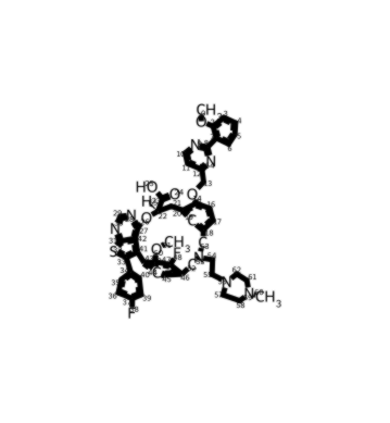 COc1ccccc1-c1nccc(COc2ccc3cc2C[C@H](C(=O)O)Oc2ncnc4sc(-c5ccc(F)cc5)c(c24)-c2ccc(c(F)c2OC)CN(CCN2CCN(C)CC2)C3)n1